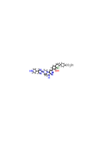 CCOC(=O)C1CCC2(CC1)CC(=Cc1ccc(-c3cc4c(nn3)NC[C@@H]3CN(c5ncc(C6CCNCC6)cn5)CCN43)c(O)c1Cl)C2